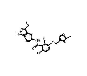 COc1n[nH]c2ncc(NC(=O)c3c(Cl)ccc(OCc4csc(C)n4)c3F)cc12